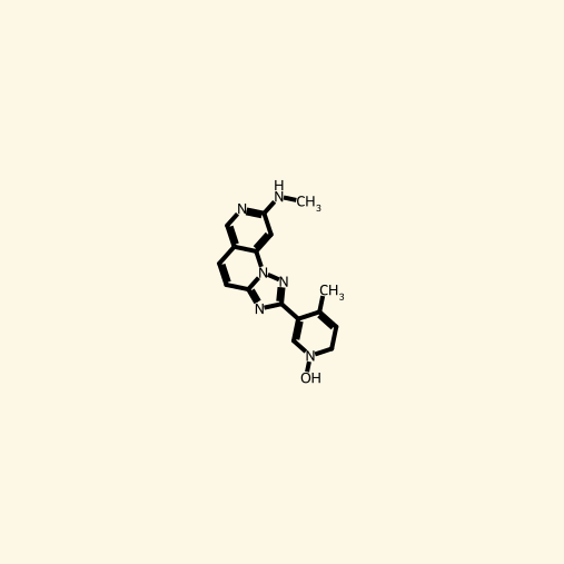 CNc1cc2c(ccc3nc(C4=CN(O)CC=C4C)nn32)cn1